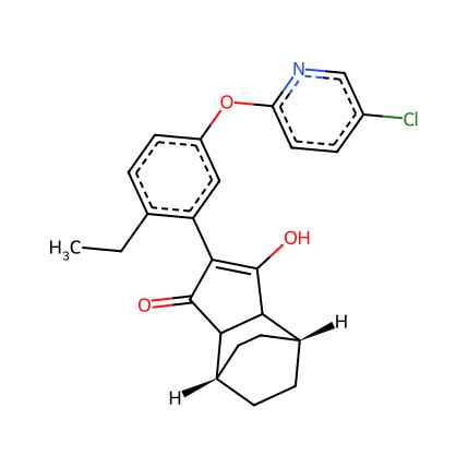 CCc1ccc(Oc2ccc(Cl)cn2)cc1C1=C(O)C2C(C1=O)[C@H]1CC[C@@H]2CC1